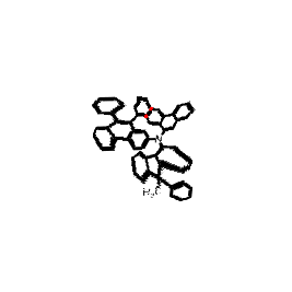 CC1(c2ccccc2)c2ccccc2-c2c(N(c3ccc4c(c3)c(-c3ccccc3)c(-c3ccccc3)c3ccccc34)c3cc4ccccc4c4ccccc34)cccc21